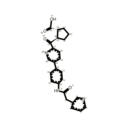 O=C(Cc1cccnc1)Nc1ccc(-c2ccc(C(=O)[C@@H]3CCC[C@H]3C(=O)O)nc2)cc1